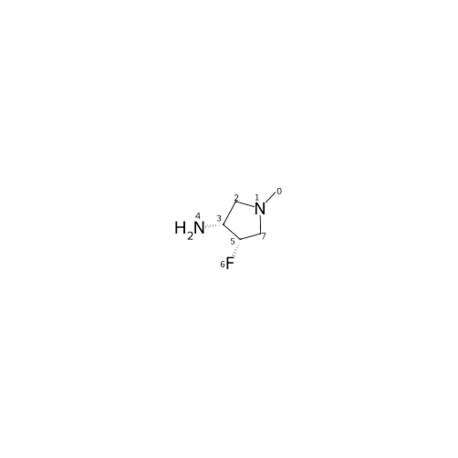 CN1C[C@@H](N)[C@@H](F)C1